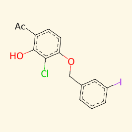 CC(=O)c1ccc(OCc2cccc(I)c2)c(Cl)c1O